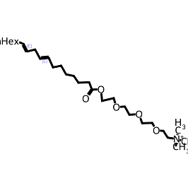 CCCCCC/C=C/C/C=C/CCCCCCC(=O)OCCOCCOCCOCC[N+](C)(C)C